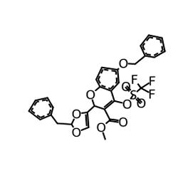 COC(=O)C1=C(OS(=O)(=O)C(F)(F)F)c2cc(OCc3ccccc3)ccc2OC1C1=COC(Cc2ccccc2)O1